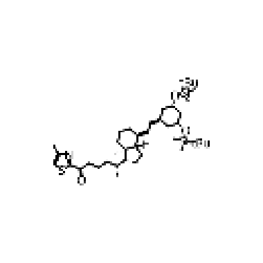 Cc1csc(C(=O)CCC[C@@H](C)[C@H]2CC[C@H]3/C(=C/C=C4C[C@@H](O[Si](C)(C)C(C)(C)C)C[C@H](O[Si](C)(C)C(C)(C)C)C4)CCC[C@]23C)n1